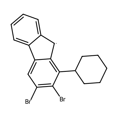 Brc1cc2c(c(C3CCCCC3)c1Br)[CH]c1ccccc1-2